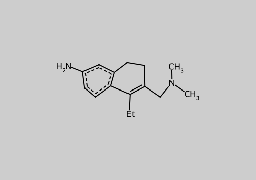 CCC1=C(CN(C)C)CCc2cc(N)ccc21